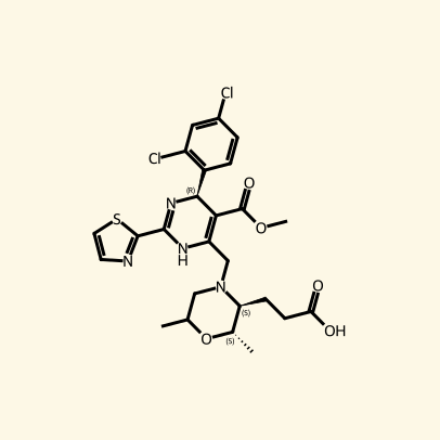 COC(=O)C1=C(CN2CC(C)O[C@@H](C)[C@@H]2CCC(=O)O)NC(c2nccs2)=N[C@H]1c1ccc(Cl)cc1Cl